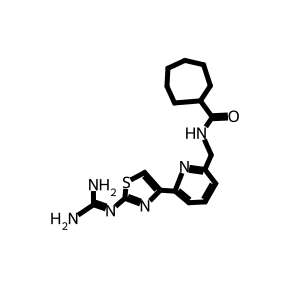 NC(N)=Nc1nc(-c2cccc(CNC(=O)C3CCCCCC3)n2)cs1